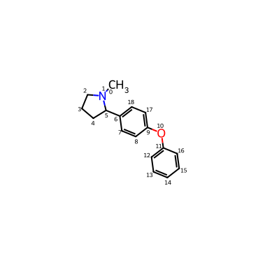 CN1CCCC1c1ccc(Oc2ccccc2)cc1